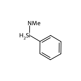 CN[SiH2]c1ccccc1